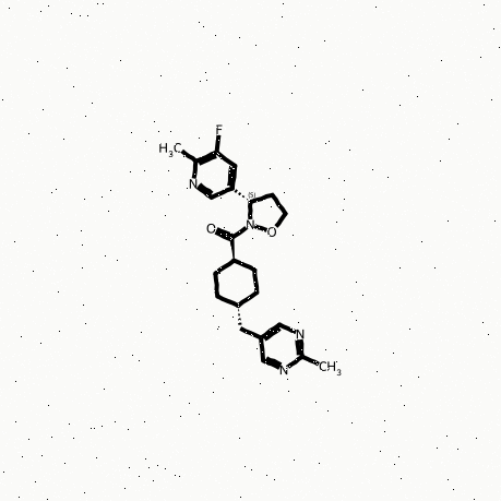 Cc1ncc(C[C@H]2CC[C@H](C(=O)N3OCC[C@H]3c3cnc(C)c(F)c3)CC2)cn1